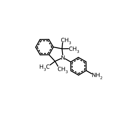 CC1(C)c2ccccc2C(C)(C)N1c1ccc(N)cc1